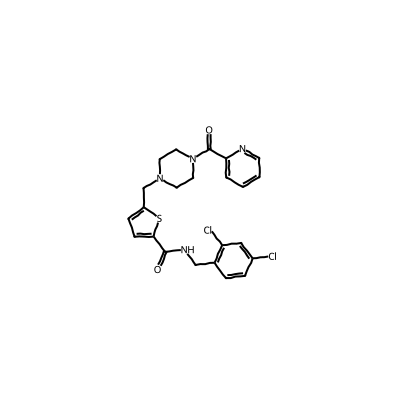 O=C(NCc1ccc(Cl)cc1Cl)c1ccc(CN2CCN(C(=O)c3ccccn3)CC2)s1